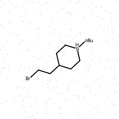 CCCC[SiH]1CCC(CCBr)CC1